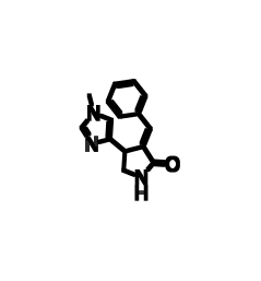 Cn1cnc(C2CNC(=O)/C2=C/c2ccccc2)c1